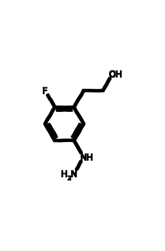 NNc1ccc(F)c(CCO)c1